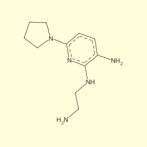 NCCNc1nc(N2CCCC2)ccc1N